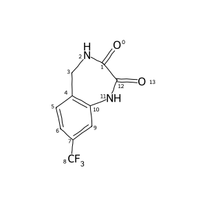 O=C1NCc2ccc(C(F)(F)F)cc2NC1=O